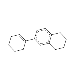 C1=C(c2ccc3c(c2)CCCC3)CCCC1